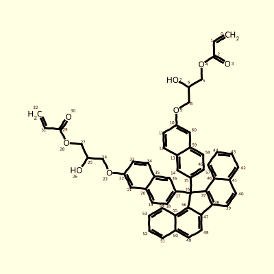 C=CC(=O)OCC(O)COc1ccc2cc(C3(c4ccc5cc(OCC(O)COC(=O)C=C)ccc5c4)c4c(ccc5ccccc45)-c4ccc5ccccc5c43)ccc2c1